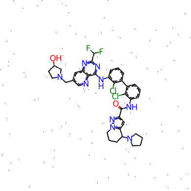 O=C(Nc1cccc(-c2cccc(Nc3nc(C(F)F)nc4cc(CN5CC[C@@H](O)C5)cnc34)c2Cl)c1Cl)c1cc2n(n1)CCCC2N1CCCC1